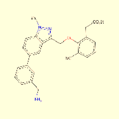 CCOC(=O)Cc1cccc(C#N)c1OCc1nn(C(C)C)c2ccc(-c3cccc(CN)c3)cc12